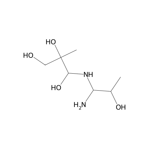 CC(O)C(N)NC(O)C(C)(O)CO